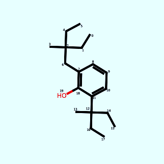 CCC(C)(CC)Cc1cccc(C(C)(CC)CC)c1O